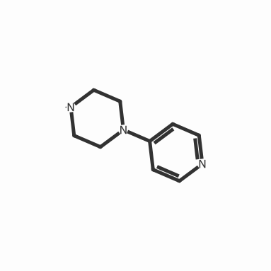 c1cc(N2CC[N]CC2)ccn1